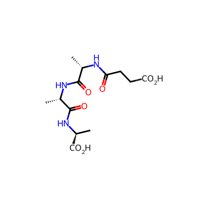 C[C@H](NC(=O)[C@H](C)NC(=O)[C@H](C)NC(=O)CCC(=O)O)C(=O)O